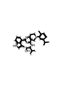 Cc1ccc(C(C)C)cc1N1CCc2nc(-c3cccc4[nH]cc(C)c34)nc(NC(CO)C(C)C)c2C1